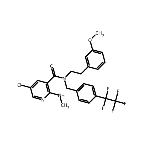 CNc1ncc(Cl)cc1C(=O)N(CCc1cccc(OC)c1)Cc1ccc(C(F)(F)C(F)(F)F)cc1